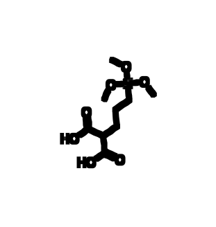 CO[Si](CCCC(C(=O)O)C(=O)O)(OC)OC